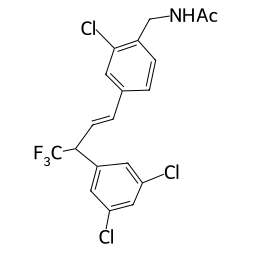 CC(=O)NCc1ccc(C=CC(c2cc(Cl)cc(Cl)c2)C(F)(F)F)cc1Cl